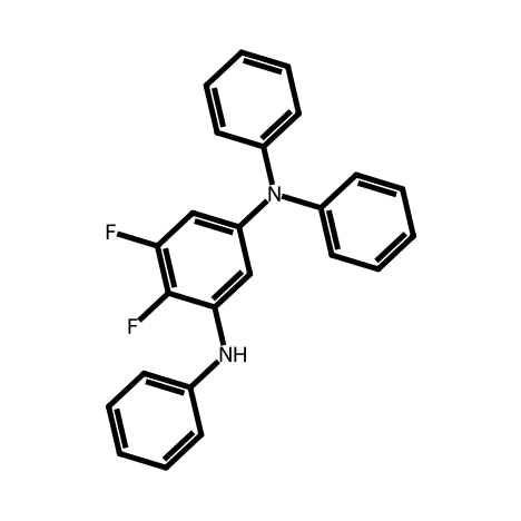 Fc1cc(N(c2ccccc2)c2ccccc2)cc(Nc2ccccc2)c1F